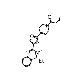 CC[C@H](c1ccccc1)N(C)C(=O)c1coc(C2=CCN(C(=O)CI)CC2)n1